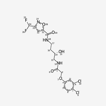 O=C(COc1ccc(Cl)c(Cl)c1)NC[C@@H](O)CCNC(=O)c1cc(C(F)F)no1